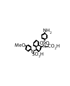 COc1ccc(N(c2ccc(N(CC(=O)O)S(=O)(=O)c3ccc(N)cc3)c3ccccc23)S(=O)(=O)O)cc1